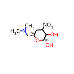 CN(C)C[C@@H]1CC([N+](=O)[O-])C(O)[C@H](O)O1